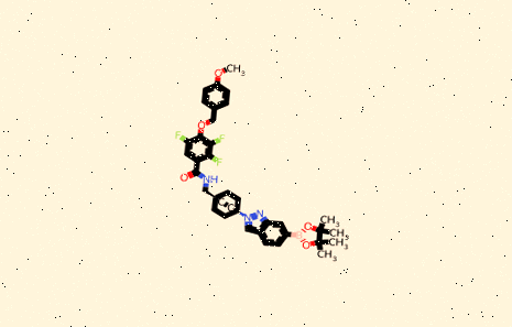 COc1ccc(COc2c(F)cc(C(=O)NC[C@]34CC[C@](n5cc6ccc(B7OC(C)(C)C(C)(C)O7)cc6n5)(CC3)CC4)c(F)c2F)cc1